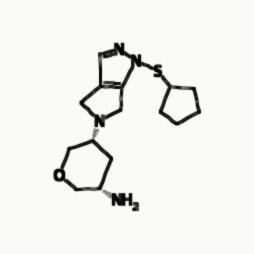 N[C@@H]1COC[C@H](N2Cc3cnn(SC4CCCC4)c3C2)C1